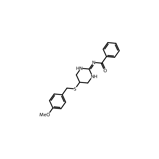 COc1ccc(CSC2CNC(=NC(=O)c3ccccc3)NC2)cc1